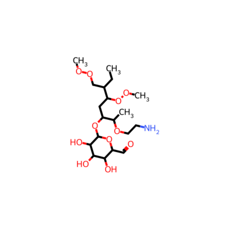 CCC(COOC)C(CC(OC1OC(C=O)C(O)C(O)C1O)C(C)OCCN)OOC